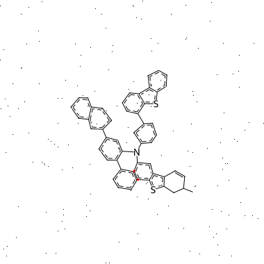 CC1C=Cc2c(sc3ccc(N(c4cccc(-c5cccc6c5sc5ccccc56)c4)c4cc(-c5ccc6ccccc6c5)ccc4-c4ccccc4)cc23)C1